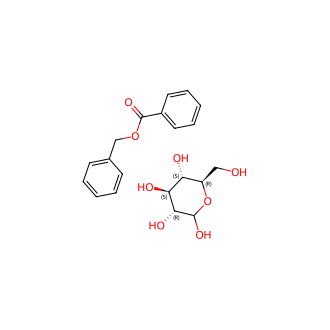 O=C(OCc1ccccc1)c1ccccc1.OC[C@H]1OC(O)[C@H](O)[C@@H](O)[C@@H]1O